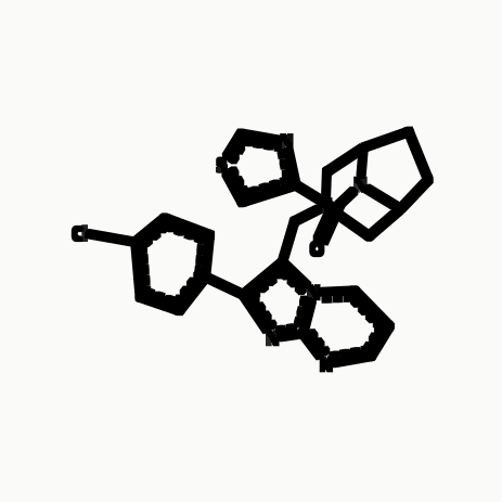 O=C(c1cscn1)N1C2CCC1CN(Cc1c(-c3ccc(Cl)cc3)nc3ncccn13)C2